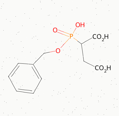 O=C(O)CC(C(=O)O)P(=O)(O)OCc1ccccc1